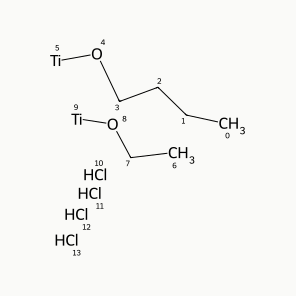 CCCC[O][Ti].CC[O][Ti].Cl.Cl.Cl.Cl